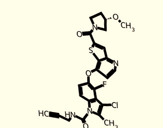 C#CCNC(=O)n1c(C)c(Cl)c2c(F)c(Oc3ccnc4cc(C(=O)N5CC[C@H](OC)C5)sc34)ccc21